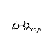 CCOC(=O)c1cnc(-c2cnco2)o1